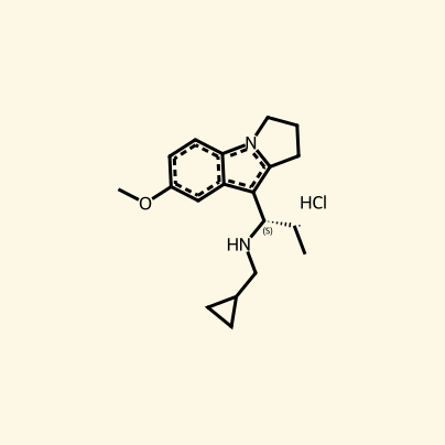 C[CH][C@H](NCC1CC1)c1c2n(c3ccc(OC)cc13)CCC2.Cl